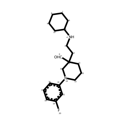 O=CC1(CCNC2CCCCC2)CCCN(c2cccc(F)c2)C1